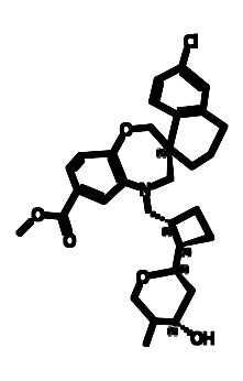 COC(=O)c1ccc2c(c1)N(C[C@@H]1CC[C@H]1[C@H]1C[C@H](O)C(C)CO1)C[C@@]1(CCCc3cc(Cl)ccc31)CO2